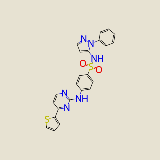 O=S(=O)(Nc1ccnn1-c1ccccc1)c1ccc(Nc2nccc(-c3cccs3)n2)cc1